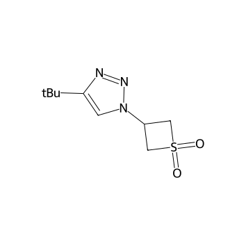 CC(C)(C)c1cn(C2CS(=O)(=O)C2)nn1